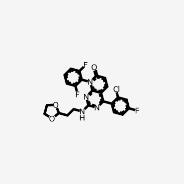 O=c1ccc2c(-c3ccc(F)cc3Cl)nc(NCCC3OCCO3)nc2n1-c1c(F)cccc1F